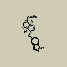 CCCCO[C@@H]1CO[C@H]2[C@@H]1OC[C@H]2Oc1ccc2[nH]ncc2c1